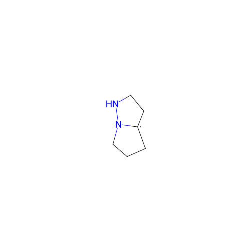 C1C[C]2CCNN2C1